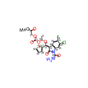 COC(=O)COC(=O)OC(C)OC(=C1C(=O)N(C(N)=O)c2cc(Cl)c(F)cc21)c1cccs1